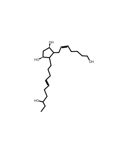 CCC(O)CC/C=C/CCCC1C(C/C=C\CCCCO)[C@H](O)C[C@@H]1O